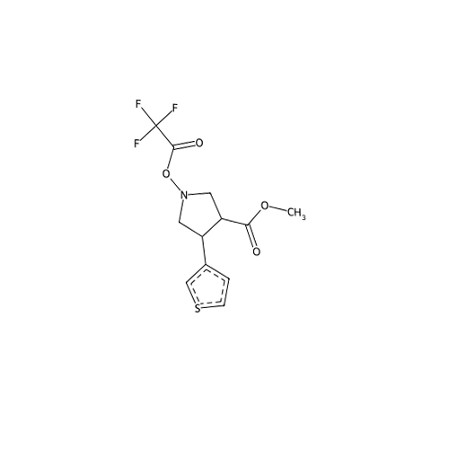 COC(=O)C1CN(OC(=O)C(F)(F)F)CC1c1ccsc1